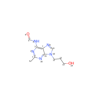 Cc1nc(NC=O)c2ncn(CCCO)c2n1